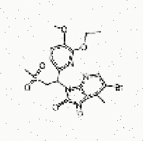 CCOc1nc(C(CS(C)(=O)=O)n2c(=O)[nH]c3c(C)c(Br)cnc32)ccc1OC